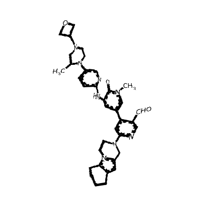 CC1CN(C2COC2)CCN1c1ccc(Nc2cc(-c3cc(N4CCn5c(cc6c5CCCC6)C4)ncc3C=O)cn(C)c2=O)nc1